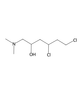 CN(C)CC(O)CC(Cl)CCCl